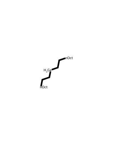 CCCCCCCCC[CH2][GeH2][CH2]CCCCCCCCC